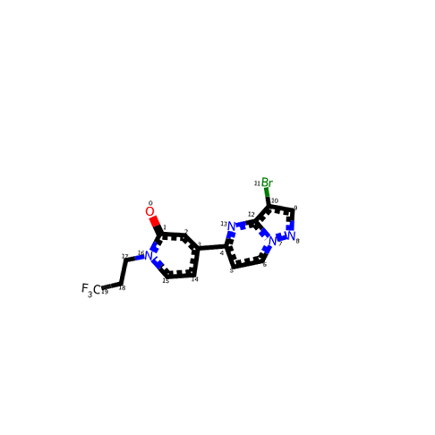 O=c1cc(-c2ccn3ncc(Br)c3n2)ccn1CCC(F)(F)F